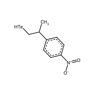 CC(C[TeH])c1ccc([N+](=O)[O-])cc1